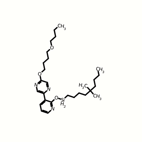 CCCCOCCCCOc1cnc(-c2cccnc2O[SiH2]CCCCC(C)(C)CCCC)cn1